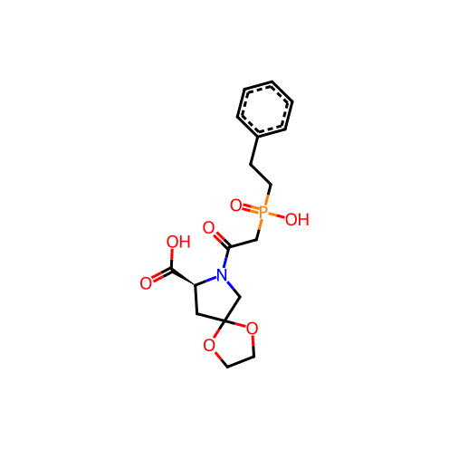 O=C(O)[C@@H]1CC2(CN1C(=O)CP(=O)(O)CCc1ccccc1)OCCO2